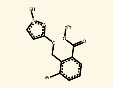 CCCOC(=O)c1cccc(C(C)C)c1COc1ccn(S)n1